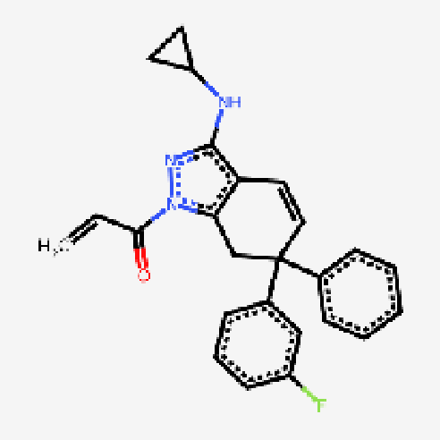 C=CC(=O)n1nc(NC2CC2)c2c1CC(c1ccccc1)(c1cccc(F)c1)C=C2